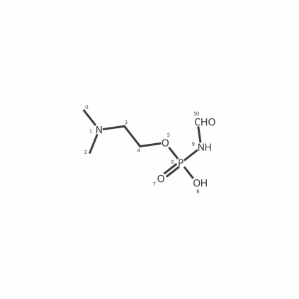 CN(C)CCOP(=O)(O)NC=O